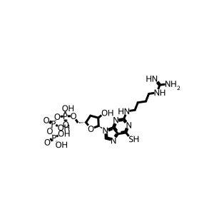 N=C(N)NCCCCNc1nc(S)c2ncn([C@@H]3O[C@H](COP(=O)(O)OP(=O)(O)OP(=O)(O)O)CC3O)c2n1